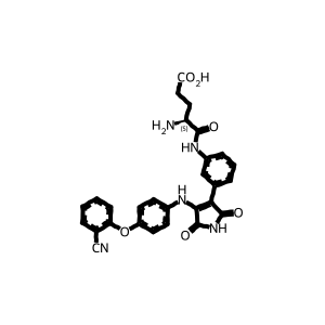 N#Cc1ccccc1Oc1ccc(NC2=C(c3cccc(NC(=O)[C@@H](N)CCC(=O)O)c3)C(=O)NC2=O)cc1